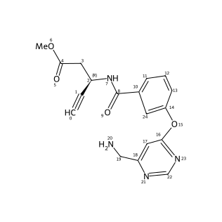 C#C[C@@H](CC(=O)OC)NC(=O)c1cccc(Oc2cc(CN)ncn2)c1